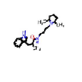 CC(Cc1c[nH]c2ccccc12)C(=O)NCCCCN1C(C)CCCC1C